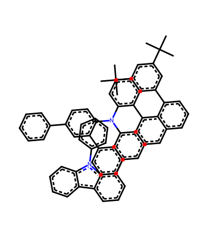 CC(C)(C)c1cc(-c2cccc3cccc(-c4ccccc4N(c4cccc(-c5cccc6c7ccccc7n(-c7ccccc7)c56)c4)c4ccc(-c5ccccc5)cc4-c4ccccc4)c23)cc(C(C)(C)C)c1